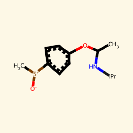 CC(C)NC(C)Oc1ccc([S+](C)[O-])cc1